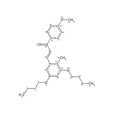 CCCCOc1cc(C=CC(=O)c2ccc(OC)cc2)c(C)c(OCCCC)c1